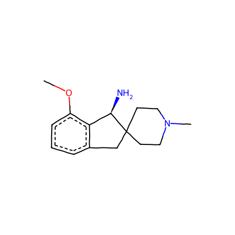 COc1cccc2c1[C@@H](N)C1(CCN(C)CC1)C2